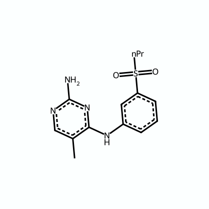 CCCS(=O)(=O)c1cccc(Nc2nc(N)ncc2C)c1